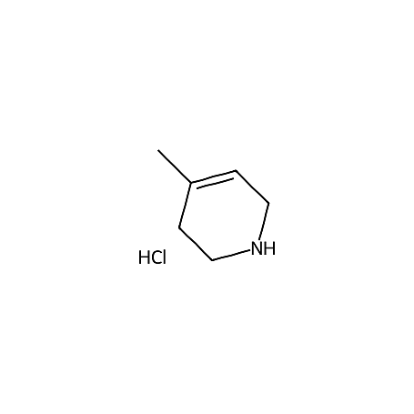 CC1=CCNCC1.Cl